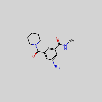 CCCNC(=O)c1cc(N)cc(C(=O)N2CCCCC2)c1